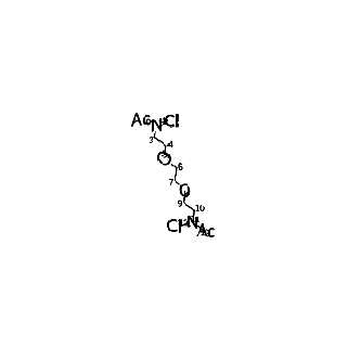 CC(=O)N(Cl)CCOCCOCCN(Cl)C(C)=O